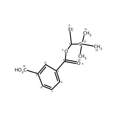 C[CH]C(OC(=O)c1cccc(C(=O)O)c1)[Si](C)(C)C